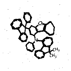 CC1(C)c2ccccc2-c2c(N(C3=CC=CCC3)C3C=C(C4(c5ccccc5)c5ccccc5-c5ccccc54)CC4OC5=C(CCCC5)C43)cccc21